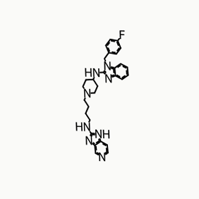 Fc1ccc(Cn2c(NC3CCN(CCCCNc4nc5cnccc5[nH]4)CC3)nc3ccccc32)cc1